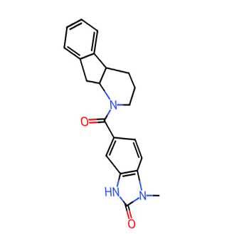 Cn1c(=O)[nH]c2cc(C(=O)N3CCCC4c5ccccc5CC43)ccc21